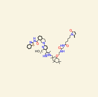 C=C1C=CC(=O)N1CCCCCC(=O)NCC(=O)NCCOC12CC(C)(C)CC(C)(CC(C)(CN/C(C)=C(\C=N)c3ccc(N4CCc5cccc(C(=O)Nc6nc7ccccc7s6)c5C4)nc3C(=O)O)C1)C2